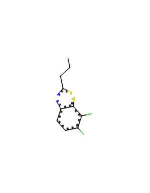 O=C(O)CCc1nc2ccc(Cl)c(Cl)c2s1